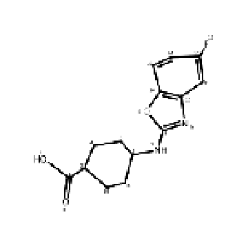 O=C(O)C1CCC(Nc2nc3cc(F)ccc3o2)CC1